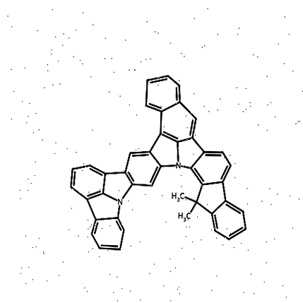 CC1(C)c2ccccc2-c2ccc3c4cc5ccccc5c5c6cc7c8cccc9c%10ccccc%10n(c7cc6n(c3c21)c45)c98